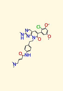 CNc1ncc2cc(-c3cc(OC)cc(OC)c3Cl)c(=O)n(CCc3ccc(NC(=O)/C=C/CN(C)C)cc3)c2n1